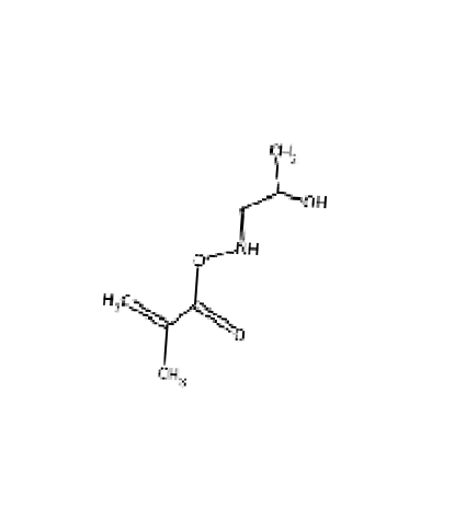 C=C(C)C(=O)ONCC(C)O